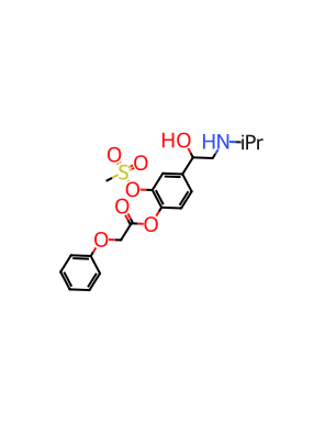 CC(C)NCC(O)c1ccc(OC(=O)COc2ccccc2)c(OS(C)(=O)=O)c1